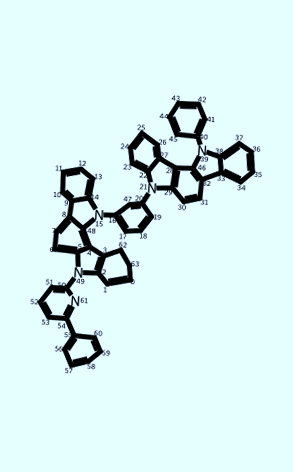 C1=Cc2c(c3c(ccc4c5ccccc5n(-c5cccc(-n6c7ccccc7c7c6ccc6c8ccccc8n(-c8ccccc8)c67)c5)c43)n2-c2cccc(-c3ccccc3)n2)CC1